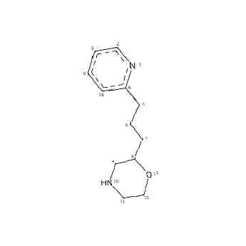 [c]1ccnc(CCCC2CNCCO2)c1